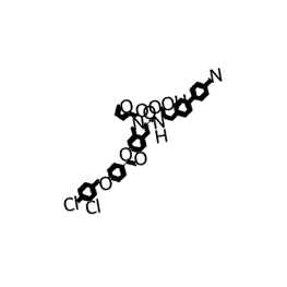 N#Cc1ccc(-c2ccc(CC(NC(=O)[C@@H]3Cc4cc5c(cc4CN3C(=O)c3ccco3)O[C@@H](c3ccc(OCc4ccc(Cl)c(Cl)c4)cc3)CO5)C(=O)O)cc2)cc1